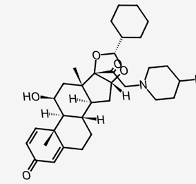 C[C@]12C=CC(=O)C=C1CC[C@@H]1[C@@H]2[C@@H](O)C[C@@]2(C)[C@H]1C[C@H]1O[C@@H](C3CCCCC3)O[C@]12C(=O)CN1CCC(F)CC1